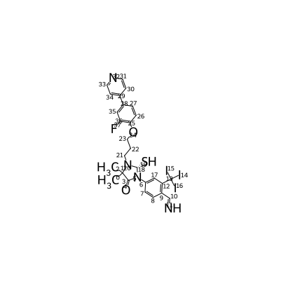 CC1(C)C(=O)N(c2ccc(C=N)c(C(I)(I)I)c2)[C@@H](S)N1CCCOc1ccc(-c2ccncc2)cc1F